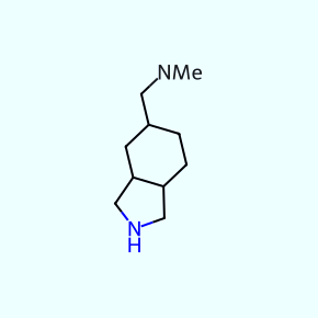 CNCC1CCC2CNCC2C1